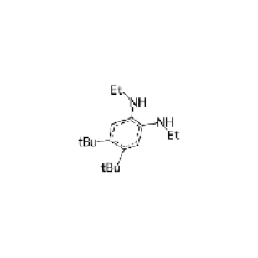 CCNc1cc(C(C)(C)C)c(C(C)(C)C)cc1NCC